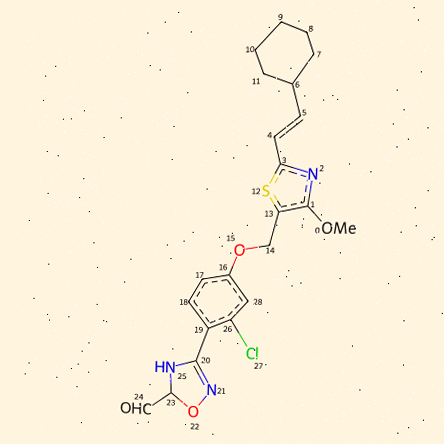 COc1nc(C=CC2CCCCC2)sc1COc1ccc(C2=NOC(C=O)N2)c(Cl)c1